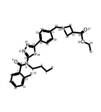 CCCCN(C(=O)c1ccccc1F)c1nnc(-c2ccc(CN3CC(C(=O)OCC)C3)cc2)s1